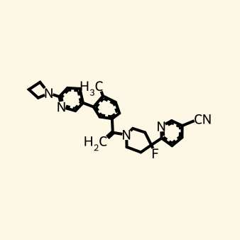 C=C(c1ccc(C)c(-c2ccc(N3CCC3)nc2)c1)N1CCC(F)(c2ccc(C#N)cn2)CC1